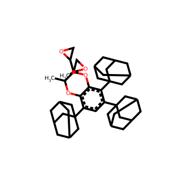 CC(Oc1c(C23CC4CC(CC(C4)C2)C3)cc(C23CC4CC(CC(C4)C2)C3)c(C23CC4CC(CC(C4)C2)C3)c1OC(C)C1CO1)C1CO1